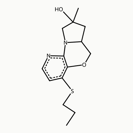 CCCSc1ccnc2c1OCC1CC(C)(O)CN21